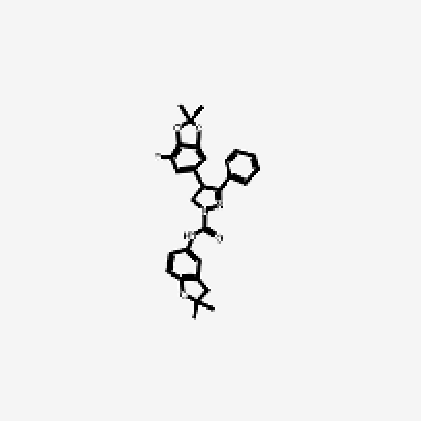 CC1(C)Cc2cc(NC(=O)N3CC(c4cc(F)c5c(c4)OC(C)(C)O5)C(c4ccccc4)=N3)ccc2O1